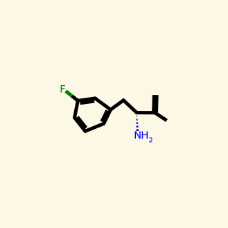 C=C(C)[C@H](N)Cc1cccc(F)c1